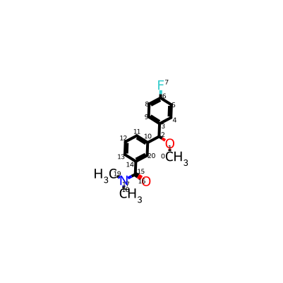 COC(c1ccc(F)cc1)c1cccc(C(=O)N(C)C)c1